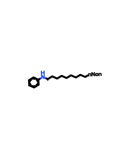 CCCCCCCCCCCCCCCCC[CH]Nc1ccccc1